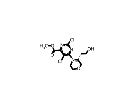 COC(=O)c1nc(Cl)nc(N2CCOC[C@H]2CCO)c1Cl